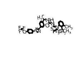 Cc1cccc(-n2c(C)cs/c2=N\C(=O)NC(C)c2ccc(-c3ncn(-c4ccc(OC(F)(F)F)cc4)n3)cc2)c1C(C)C